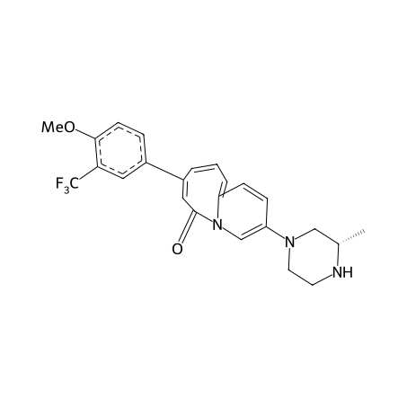 COc1ccc(C2=C\C(=O)N3C=C(N4CCN[C@@H](C)C4)C=C\C3=C/C=C/2)cc1C(F)(F)F